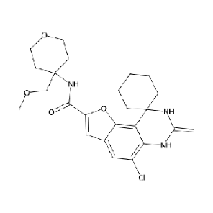 C=C1Nc2c(Cl)cc3cc(C(=O)NC4(COC)CCOCC4)oc3c2C2(CCCCC2)N1